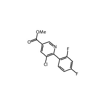 COC(=O)c1cnc(-c2ccc(F)cc2F)c(Cl)c1